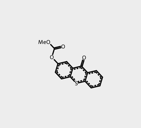 COC(=O)Oc1ccc2sc3ccccc3c(=O)c2c1